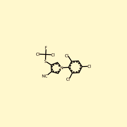 N#Cc1cn(-c2c(Cl)cc(Cl)cc2Cl)cc1SC(F)(Cl)Cl